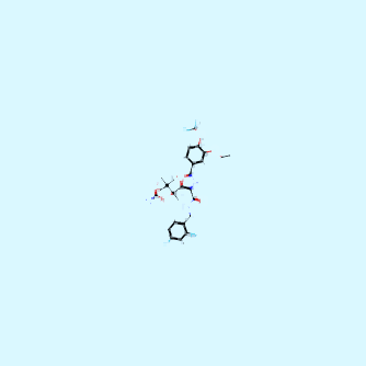 CCOc1cc(-c2nc(C(=O)NCc3ccc(F)cc3F)c(C(C)(OC(N)=O)C(C)(C)C)o2)ccc1OC(F)F